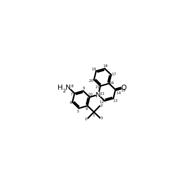 CC(C)(C)c1ccc(N)cc1-n1ccc(=O)c2ccccc21